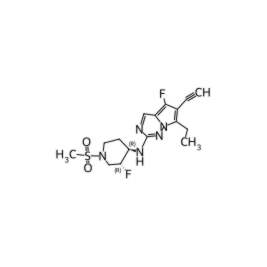 C#Cc1c(F)c2cnc(N[C@@H]3CCN(S(C)(=O)=O)C[C@H]3F)nn2c1CC